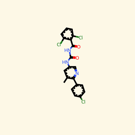 Cc1cc(NC(=O)NC(=O)c2c(Cl)cccc2Cl)cnc1-c1ccc(Cl)cc1